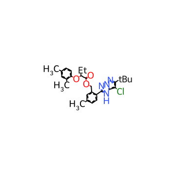 CCC(Oc1ccc(C)cc1C)C(=O)OCc1cc(C)ccc1-c1nn2nc(C(C)(C)C)c(Cl)c2[nH]1